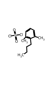 CCCCc1c(C)cccc1C.O=S(=O)(Cl)Cl